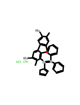 Cc1cc2c(cc1C(C)(C)C)-c1cc(C(C)(C)C)c(C)[c]([Zr]([C]3=CC=CC3)=[Si](c3ccccc3)c3ccccc3)c1C2.Cl.Cl